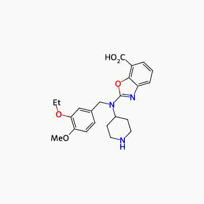 CCOc1cc(CN(c2nc3cccc(C(=O)O)c3o2)C2CCNCC2)ccc1OC